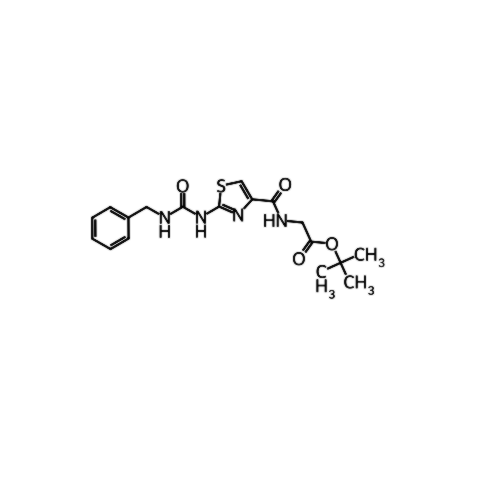 CC(C)(C)OC(=O)CNC(=O)c1csc(NC(=O)NCc2ccccc2)n1